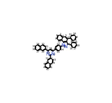 c1ccc(-c2cc3ccccc3c3c2c(-c2ccccc2)nn3-c2ccc(-c3cc(-c4ccc5ccccc5c4)nc(-c4ccc5ccccc5c4)n3)cc2)cc1